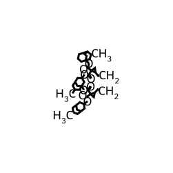 C=CC1CC1(C(=O)OC1CC2CC(C)CC(OC(=O)C3(C(=O)OC4CC5CC(C)CC(C5)C4)CC3C=C)(C2)C1)C(=O)OC12CCCC(=CC(C)C1)C2